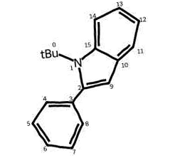 CC(C)(C)n1c(-c2ccccc2)cc2ccccc21